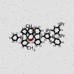 Cc1ccc2c(c1)C1(c3cc(C)ccc3N2c2ccccc2)c2ccccc2C2(c3ccccc3N(c3ccc4c(c3)Sc3ccccc3B4c3c(C(C)C)cc(C(C)C)cc3C(C)C)c3ccccc32)c2ccccc21